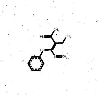 C=N/C(Nc1ccccc1)=C(\CC)C(C)=N